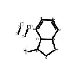 CCl.CCl.[Ti][CH]1CCC2C=CC=CC12